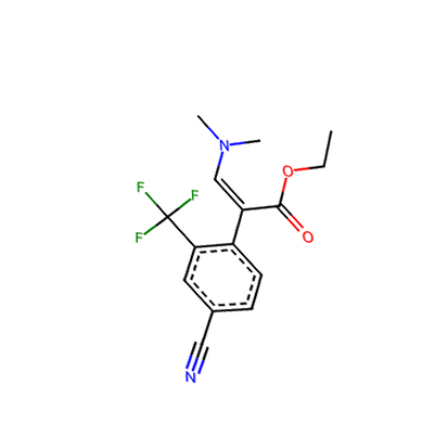 CCOC(=O)/C(=C\N(C)C)c1ccc(C#N)cc1C(F)(F)F